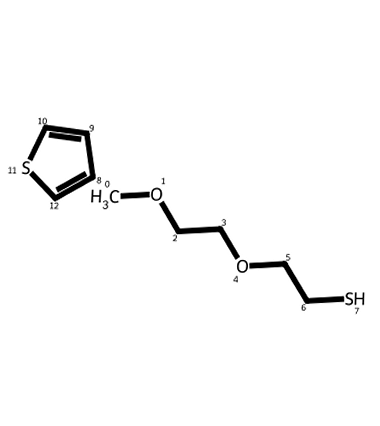 COCCOCCS.c1ccsc1